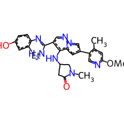 CCc1cc(O)ccc1/N=C(\N)c1cnn2cc(-c3cnc(OC)cc3C)cc2c1NC1CC(=O)N(C)C1